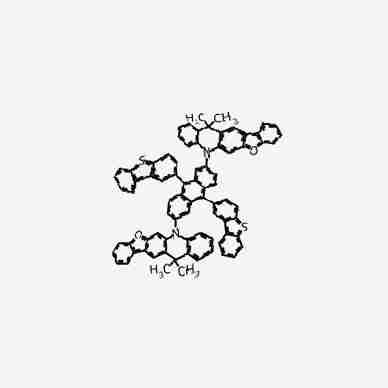 CC1(C)c2ccccc2N(c2ccc3c(-c4ccc5sc6ccccc6c5c4)c4cc(N5c6ccccc6C(C)(C)c6cc7c(cc65)oc5ccccc57)ccc4c(-c4ccc5sc6ccccc6c5c4)c3c2)c2cc3oc4ccccc4c3cc21